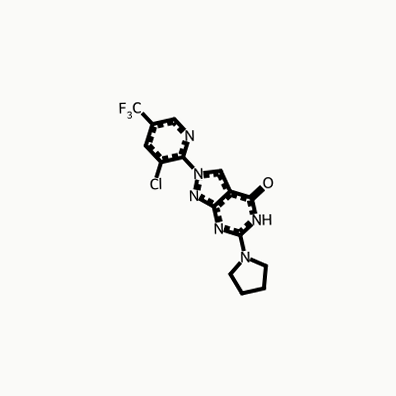 O=c1[nH]c(N2CCCC2)nc2nn(-c3ncc(C(F)(F)F)cc3Cl)cc12